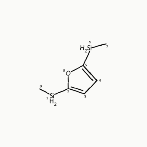 C[SiH2]c1ccc([SiH2]C)o1